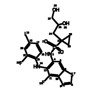 O=S(=O)(Nc1cc2scnc2c(F)c1Nc1ccc(I)cc1F)C1(CC(O)CO)CC1